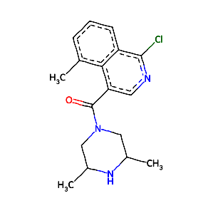 Cc1cccc2c(Cl)ncc(C(=O)N3CC(C)NC(C)C3)c12